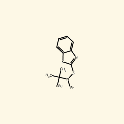 CCCCC(C)(C)N(Sc1nc2ccccc2s1)C(C)C